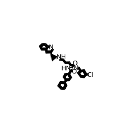 O=C(NC(CCCCN[C@@H]1C[C@H]1c1cnc2ccccc2c1)C(=O)NCc1cccc(Cl)c1)c1ccc(-c2ccccc2)cc1